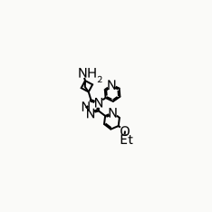 CCOC1C=CC(c2nnc(C34CC(N)(C3)C4)n2-c2cccnc2)=NC1